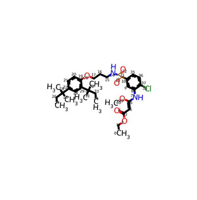 CCOC(=O)C=C(Nc1cc(S(=O)(=O)NCCCOc2ccc(C(C)(C)CC)cc2C(C)(C)CC)ccc1Cl)OC